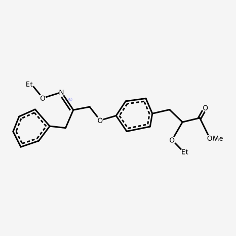 CCO/N=C(/COc1ccc(CC(OCC)C(=O)OC)cc1)Cc1ccccc1